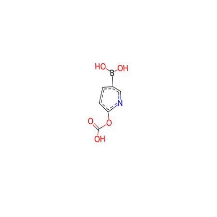 O=C(O)Oc1ccc(B(O)O)cn1